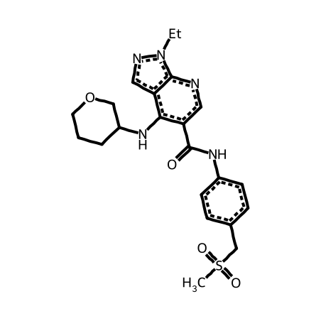 CCn1ncc2c(NC3CCCOC3)c(C(=O)Nc3ccc(CS(C)(=O)=O)cc3)cnc21